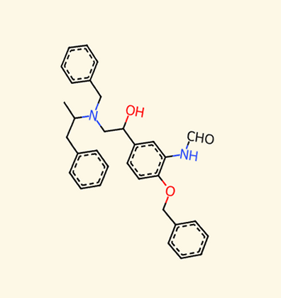 CC(Cc1ccccc1)N(Cc1ccccc1)CC(O)c1ccc(OCc2ccccc2)c(NC=O)c1